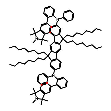 CCCCCCCCC1(CCCCCCCC)c2cc(N(c3ccccc3)c3ccccc3-c3ccc4c(c3)C(C)(C)N(C)C4(C)C)ccc2-c2cc3c(cc21)-c1ccc(N(c2ccccc2)c2ccccc2-c2ccc4c(c2)C(C)(C)N(C)C4(C)C)cc1C3(CCCCCCCC)CCCCCCCC